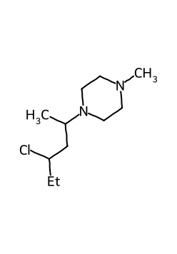 CCC(Cl)CC(C)N1CCN(C)CC1